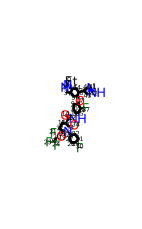 CCn1ncc2cc(Oc3ccc(NC(=O)c4ccc(OC(F)C(F)F)n(-c5ccc(F)cc5)c4=O)cc3F)c(-c3cn[nH]c3)cc21